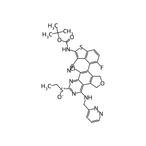 CC[S+]([O-])c1nc(NCc2cccnn2)c2c3c(c(-c4c(F)ccc5sc(NC(=O)OC(C)(C)C)c(C#N)c45)c(Cl)c2n1)COC3